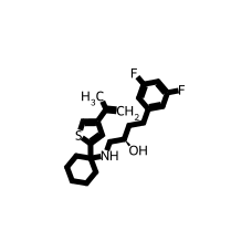 C=C(C)c1csc(C2(NC[C@@H](O)CCc3cc(F)cc(F)c3)CCCCC2)c1